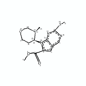 COC(=O)c1cc2cnc(SC)nc2n1[C@H]1CCOC[C@H]1C